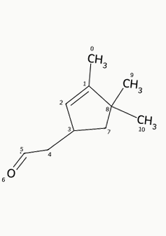 CC1=CC(C[C]=O)CC1(C)C